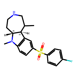 CC1CNCC[C@@H]2[C@@H]1c1cc(S(=O)(=O)c3ccc(F)cc3)ccc1N2C